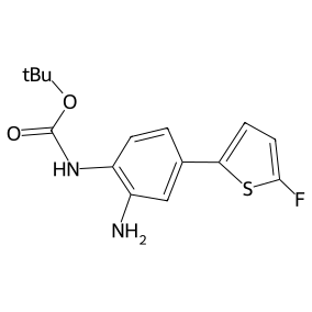 CC(C)(C)OC(=O)Nc1ccc(-c2ccc(F)s2)cc1N